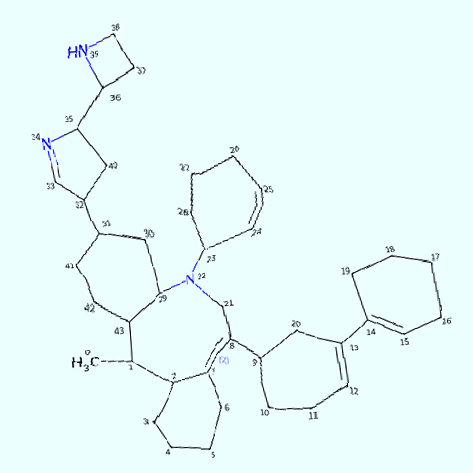 CC1C2CCCC/C2=C(\C2CCC=C(C3=CCCCC3)C2)CN(C2C=CCCC2)C2CC(C3C=NC(C4CCN4)C3)CCC12